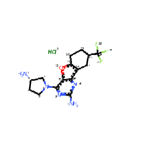 Cl.Nc1nc(N2CC[C@H](N)C2)c2oc3c(c2n1)CC(C(F)(F)F)CC3